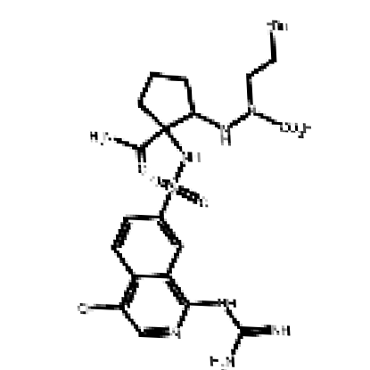 CC(C)(C)CCN(NC1CCCC1(NS(=O)(=O)c1ccc2c(Cl)cnc(NC(=N)N)c2c1)C(N)=O)C(=O)O